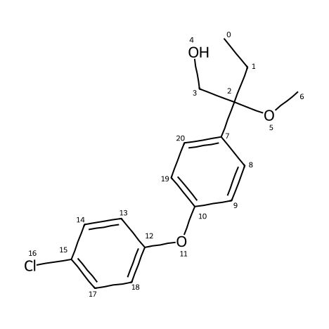 CCC(CO)(OC)c1ccc(Oc2ccc(Cl)cc2)cc1